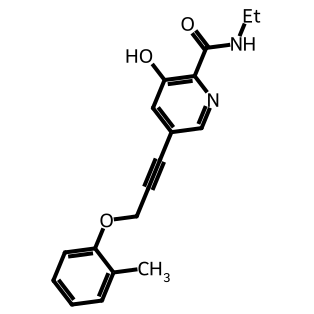 CCNC(=O)c1ncc(C#CCOc2ccccc2C)cc1O